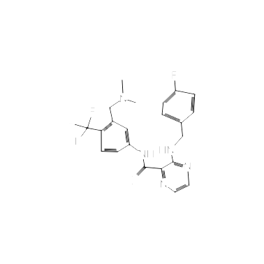 CN(C)Cc1cc(NC(=O)c2nccnc2NCc2ccc(F)cc2)ccc1C(F)(F)F